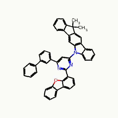 CC1(C)c2ccccc2-c2cc3c(cc21)c1ccccc1n3-c1cc(-c2cccc(-c3ccccc3)c2)nc(-c2cccc3c2oc2ccccc23)n1